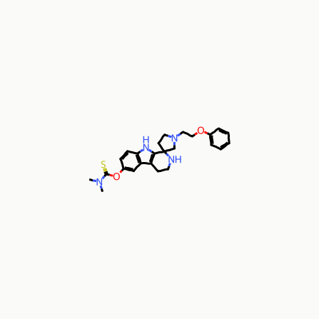 CN(C)C(=S)Oc1ccc2[nH]c3c(c2c1)CCNC31CCN(CCOc2ccccc2)C1